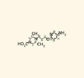 C[C@@H]1CN(C(=O)O)C[C@H](C)N1CCCOc1ccc(N)cn1